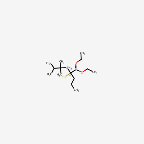 CCC[C@](S)([SiH2]C(C)(C)C(C)C)[SiH](OCC)OCC